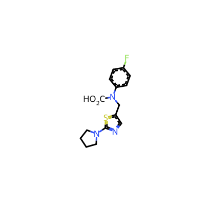 O=C(O)N(Cc1cnc(N2CCCC2)s1)c1ccc(F)cc1